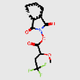 COC(CC(F)(F)F)C(=O)ON1C(=O)c2ccccc2C1=O